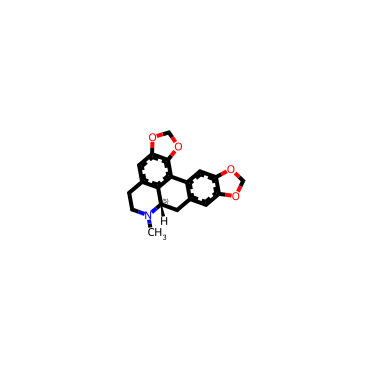 CN1CCc2cc3c(c4c2[C@@H]1Cc1cc2c(cc1-4)OCO2)OCO3